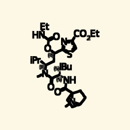 CCNC(=O)O[C@H](C[C@H](C(C)C)N(C)C(=O)[C@@H](NC(=O)C12CCC(CC1)N2C)[C@@H](C)CC)c1nc(C(=O)OCC)cs1